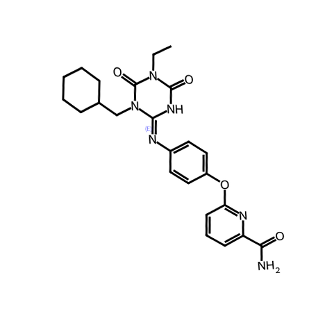 CCn1c(=O)[nH]/c(=N\c2ccc(Oc3cccc(C(N)=O)n3)cc2)n(CC2CCCCC2)c1=O